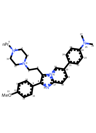 CCCN1CCN(CCc2c(-c3ccc(OC)cc3)nc3ccc(-c4ccc(N(C)C)cc4)cn23)CC1